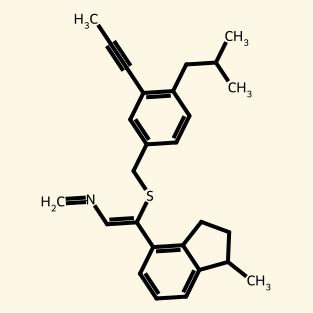 C=N/C=C(\SCc1ccc(CC(C)C)c(C#CC)c1)c1cccc2c1CCC2C